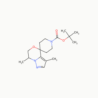 Cc1cnn2c1C1(CCN(C(=O)OC(C)(C)C)CC1)OCC2C